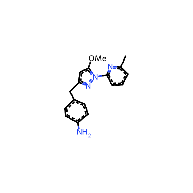 COc1cc(Cc2ccc(N)cc2)nn1-c1cccc(C)n1